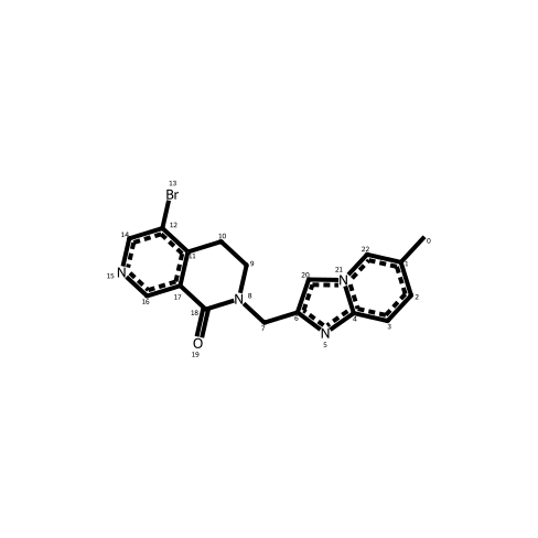 Cc1ccc2nc(CN3CCc4c(Br)cncc4C3=O)cn2c1